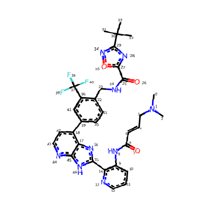 CN(C)C/C=C/C(=O)Nc1cccnc1-c1nc2c(-c3ccc(CNC(=O)c4nc(C(C)(C)C)no4)c(C(F)(F)F)c3)ccnc2[nH]1